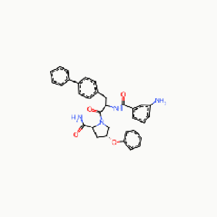 NC(=O)[C@@H]1C[C@@H](Oc2ccccc2)CN1C(=O)C(Cc1ccc(-c2ccccc2)cc1)NC(=O)c1cccc(N)c1